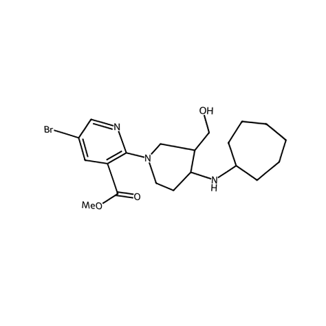 COC(=O)c1cc(Br)cnc1N1CCC(NC2CCCCCC2)C(CO)C1